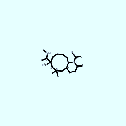 BC1(C(C)NC)CCCCC2C(CCC(=S)N2C(C)C)CC(C)(C)C1